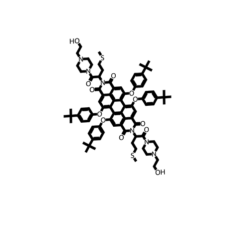 CSCCC(C(=O)N1CCN(CCO)CC1)N1C(=O)c2cc(Oc3ccc(C(C)(C)C)cc3)c3c4c(Oc5ccc(C(C)(C)C)cc5)cc5c6c(cc(Oc7ccc(C(C)(C)C)cc7)c(c7c(Oc8ccc(C(C)(C)C)cc8)cc(c2c37)C1=O)c64)C(=O)N(C(CCSC)C(=O)N1CCN(CCO)CC1)C5=O